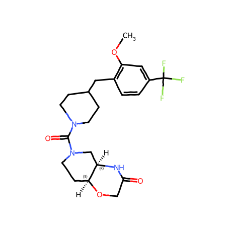 COc1cc(C(F)(F)F)ccc1CC1CCN(C(=O)N2CC[C@@H]3OCC(=O)N[C@@H]3C2)CC1